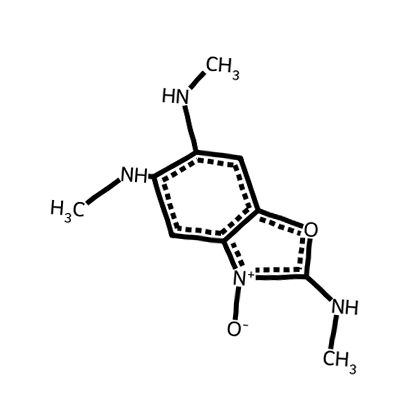 CNc1cc2oc(NC)[n+]([O-])c2cc1NC